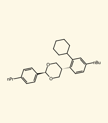 CCCCc1ccc([C@H]2CO[C@H](c3ccc(CCC)cc3)OC2)c(C2CCCCC2)c1